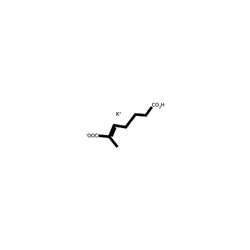 CC(=CCCCC(=O)O)C(=O)[O-].[K+]